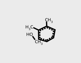 CO.Cc1ccccc1C